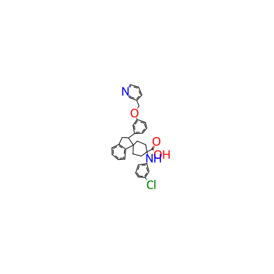 O=C(O)C1(Nc2cccc(Cl)c2)CCC2(CC1)c1ccccc1CC2c1cccc(OCc2cccnc2)c1